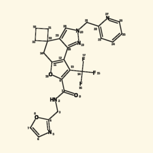 O=C(NCc1ncco1)c1oc2c(c1C(F)(F)F)-c1nn(Cc3ccccn3)cc1C1(CCC1)C2